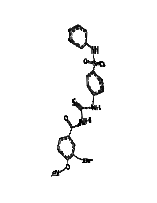 CCOc1ccc(C(=O)NC(=S)Nc2ccc(S(=O)(=O)Nc3ccccc3)cc2)cc1Br